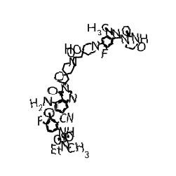 CCN(C)S(=O)(=O)Nc1ccc(F)c(Oc2ccc3ncn([C@H]4COC5(CCN(C(=O)CC6(O)CCN(c7cc8c(cc7F)c(N7CCC(=O)NC7=O)nn8C)CC6)CC5)C4)c(=O)c3c2N)c1C#N